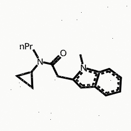 CCCN(C(=O)Cc1cc2ccccc2n1C)C1CC1